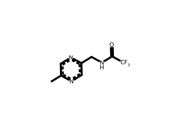 Cc1cnc(CNC(=O)C(F)(F)F)cn1